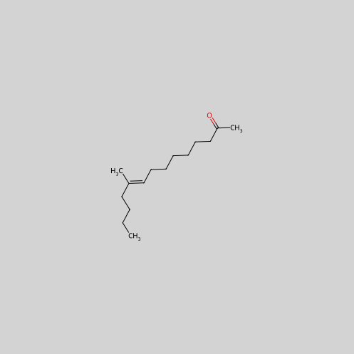 CCCCC(C)=CCCCCCCC(C)=O